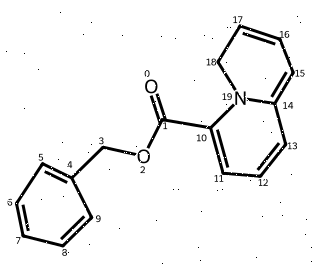 O=C(OCc1ccccc1)C1=CC=CC2=CC=CCN21